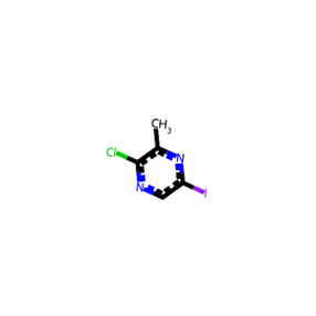 Cc1nc(I)cnc1Cl